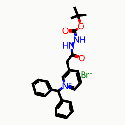 CC(C)(C)OC(=O)NNC(=O)Cc1ccc[n+](C(c2ccccc2)c2ccccc2)c1.[Br-]